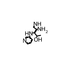 CC(O)/C(Nc1cccnc1)=C(\N)C=N